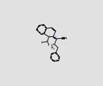 CN(Cc1ccccc1)/C(C#N)=C1/C=Cc2ccccc2N1B(F)F